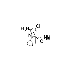 Nc1cc(Cl)cn2c(NCC(=O)NO)c(C3CCCCC3)nc12